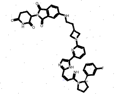 N=C(/C=C\c1ncc(-c2cccc(N3CC(CCNc4ccc5c(c4)C(=O)N(C4CCC(=O)NC4=O)C5=O)C3)n2)[nH]1)N1CCC[C@@H]1c1cccc(F)c1